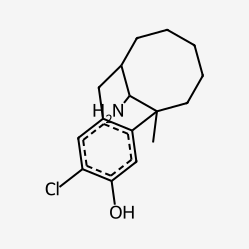 CC12CCCCCC(Cc3cc(Cl)c(O)cc31)C2N